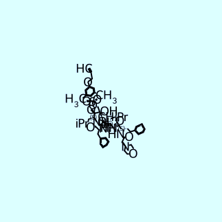 C#CCOc1cc(C)c(S(=O)(=O)OCC(C)(O)C(=O)[C@H](CC(C)C)NC(=O)C(Cc2ccccc2)NC(=O)[C@H](CC(C)C)NC(=O)[C@H](CCc2ccccc2)NC(=O)CN2CCOCC2)c(C)c1